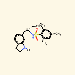 CC[C@@H](Cc1ccc2c(c1)N(C)CC2)NS(=O)(=O)c1c(C)cc(C)cc1C